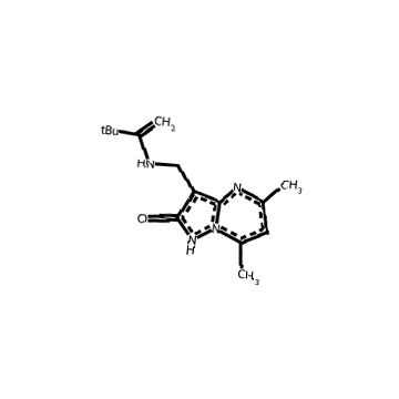 C=C(NCc1c(=O)[nH]n2c(C)cc(C)nc12)C(C)(C)C